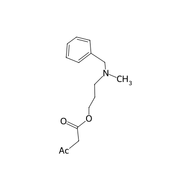 CC(=O)CC(=O)OCCCN(C)Cc1ccccc1